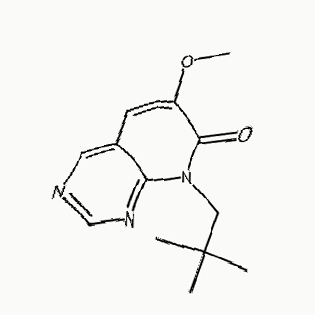 COc1cc2cncnc2n(CC(C)(C)C)c1=O